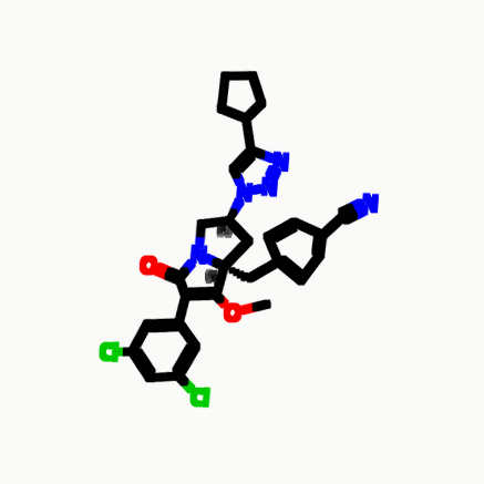 COC1=C(c2cc(Cl)cc(Cl)c2)C(=O)N2C[C@@H](n3cc(C4CCCC4)nn3)C[C@@]12Cc1ccc(C#N)cc1